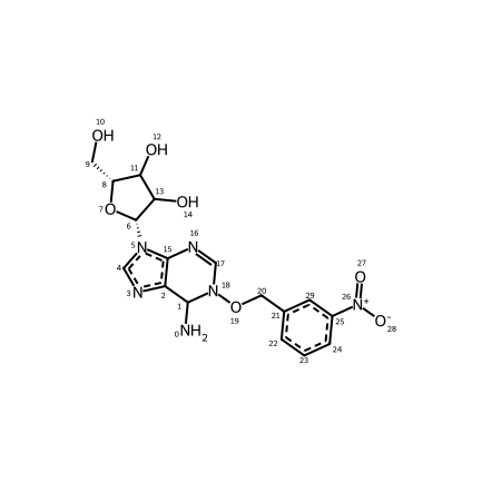 NC1c2ncn([C@@H]3O[C@H](CO)C(O)C3O)c2N=CN1OCc1cccc([N+](=O)[O-])c1